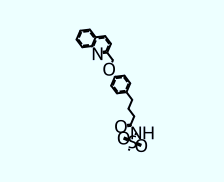 CS(=O)(=O)NC(=O)CCCc1ccc(OCc2ccc3ccccc3n2)cc1